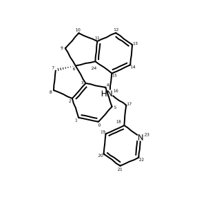 C1=CC2=C(CC1)[C@@]1(CC2)CCc2cccc(NCc3ccccn3)c21